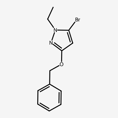 CCn1nc(OCc2ccccc2)cc1Br